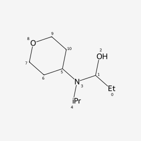 CCC(O)N(C(C)C)C1CCOCC1